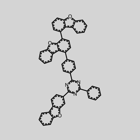 c1ccc(-c2nc(-c3ccc(-c4ccc(-c5cccc6oc7ccccc7c56)c5oc6ccccc6c45)cc3)nc(-c3ccc4c(c3)oc3ccccc34)n2)cc1